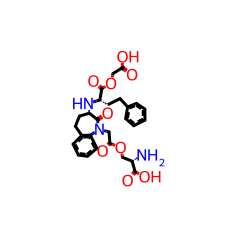 N[C@@H](COC(=O)CN1C(=O)[C@@H](N[C@@H](CCc2ccccc2)C(=O)OCC(=O)O)CCc2ccccc21)C(=O)O